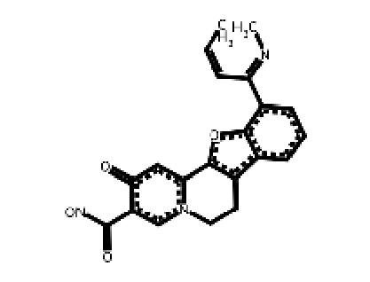 C/C=C\C(=N/C)c1cccc2c3c(oc12)-c1cc(=O)c(C(=O)N=O)cn1CC3